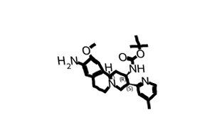 COc1cc2c(cc1N)CCN1C[C@H](c3cc(C)ccn3)[C@H](NC(=O)OC(C)(C)C)C[C@H]21